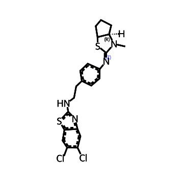 CN1/C(=N/c2ccc(CCNc3nc4cc(Cl)c(Cl)cc4s3)cc2)SC2CCC[C@H]21